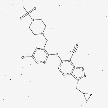 CS(=O)(=O)N1CCN(Cc2cc(Cl)cnc2Oc2ccc3c(nnn3CC3CC3)c2C#N)CC1